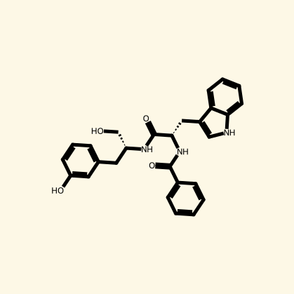 O=C(N[C@@H](Cc1c[nH]c2ccccc12)C(=O)N[C@@H](CO)Cc1cccc(O)c1)c1ccccc1